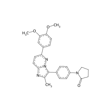 COc1ccc(-c2ccc3nc(C)c(-c4ccc(N5CCCC5=O)cc4)n3n2)cc1OC